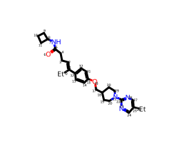 CC/C(=C\CCC(=O)NC1CCC1)c1ccc(OCC2CCN(c3ncc(CC)cn3)CC2)cc1